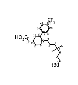 CC(C)(C)CCCC(C)(C)CCCN1CCC(CC(=O)O)CC1c1ccc(C(F)(F)F)cc1